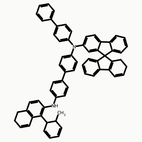 CC1C=CC=CC1c1c(Nc2ccc(-c3ccc(N(c4ccc(-c5ccccc5)cc4)c4ccc5c(c4)C4(C6=C(C=CCC6)c6ccccc64)c4ccccc4-5)cc3)cc2)ccc2c1C=CCC2